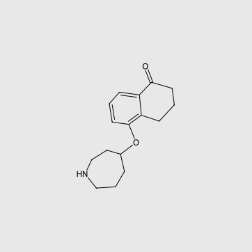 O=C1CCCc2c(OC3CCCNCC3)cccc21